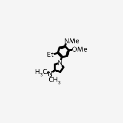 CCc1cc(NC)c(OC)cc1N1CCC(N(C)C)C1